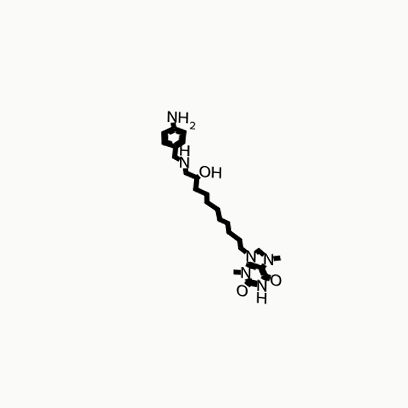 CN1CN(CCCCCCCCCC(O)CNCc2ccc(N)cc2)c2c1c(=O)[nH]c(=O)n2C